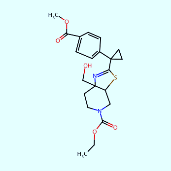 CCOC(=O)N1CCC2(CO)N=C(C3(c4ccc(C(=O)OC)cc4)CC3)SC2C1